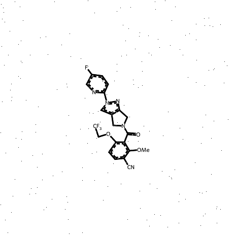 COc1c(C#N)ccc(OCC(F)(F)F)c1C(=O)N1Cc2cn(-c3ccc(F)cn3)nc2C1